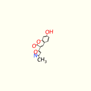 Cc1cc(-c2cc3ccc(O)cc3oc2=O)on1